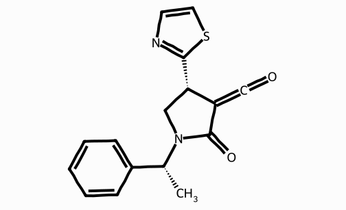 C[C@H](c1ccccc1)N1C[C@H](c2nccs2)C(=C=O)C1=O